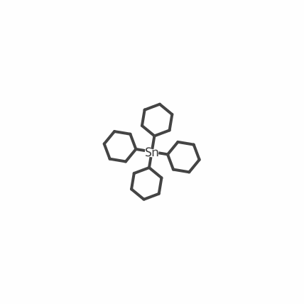 C1CC[CH]([Sn]([CH]2CCCCC2)([CH]2CCCCC2)[CH]2CCCCC2)CC1